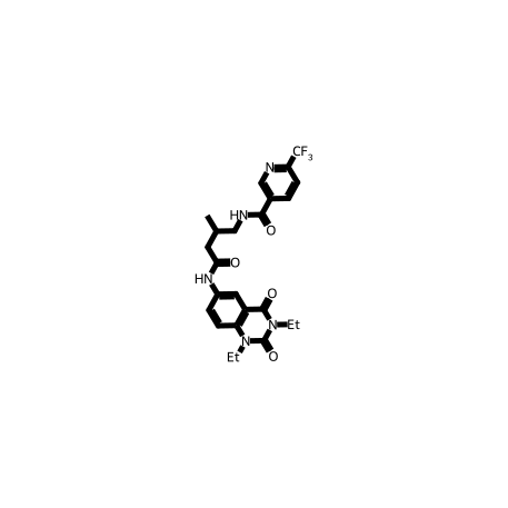 CCn1c(=O)c2cc(NC(=O)CC(C)CNC(=O)c3ccc(C(F)(F)F)nc3)ccc2n(CC)c1=O